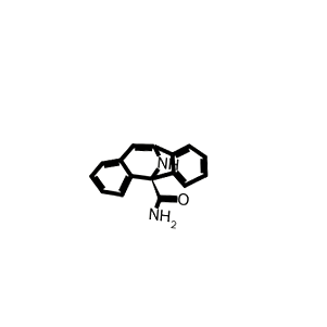 NC(=O)[C@]12NC(=Cc3ccccc31)c1ccccc12